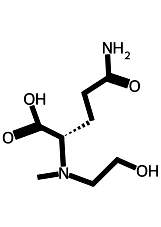 CN(CCO)[C@@H](CCC(N)=O)C(=O)O